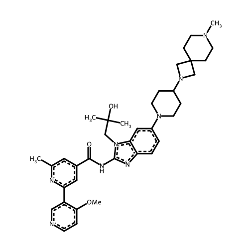 COc1ccncc1-c1cc(C(=O)Nc2nc3ccc(N4CCC(N5CC6(CCN(C)CC6)C5)CC4)cc3n2CC(C)(C)O)cc(C)n1